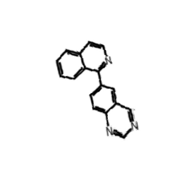 [c]1ncnc2ccc(-c3nccc4ccccc34)cc12